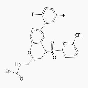 CCC(=O)NC[C@H]1CN(S(=O)(=O)c2cccc(C(F)(F)F)c2)c2cc(-c3cc(F)ccc3F)ccc2O1